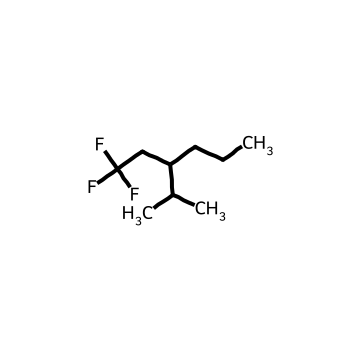 CCCC(CC(F)(F)F)C(C)C